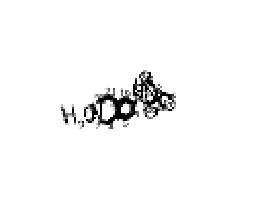 CN1CCc2ccc(NC(=O)[C@]3(NC=O)CCOC3)cc2CC1